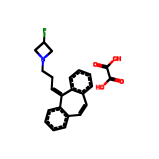 FC1CN(CCC=C2c3ccccc3C=Cc3ccccc32)C1.O=C(O)C(=O)O